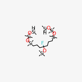 C[SiH](C)O[Si](C)(C)O[Si](C)(C)CCCC(F)(CCC[Si](C)(C)O[Si](C)(C)O[SiH](C)C)O[Si](C)(C)C